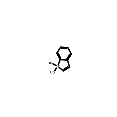 O[N+]1(O)C=Cc2ccccc21